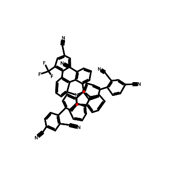 N#Cc1ccc(-c2ccc3c(c2)c2ccccc2n3-c2cccc(C#N)c2-c2c(-c3ccc(C#N)cc3C(F)(F)F)cccc2-n2c3ccccc3c3cc(-c4ccc(C#N)cc4C#N)ccc32)c(C#N)c1